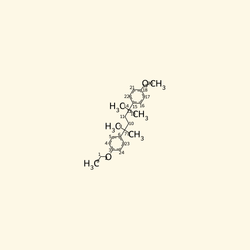 CCOc1ccc(C(C)(C)CCC(C)(C)c2ccc(OC)cc2)cc1